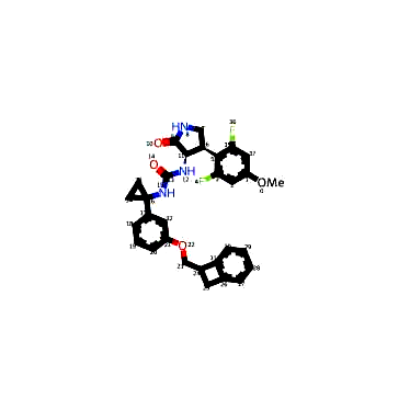 COc1cc(F)c([C@@H]2CNC(=O)[C@H]2NC(=O)NC2(c3cccc(OCC4Cc5ccccc54)c3)CC2)c(F)c1